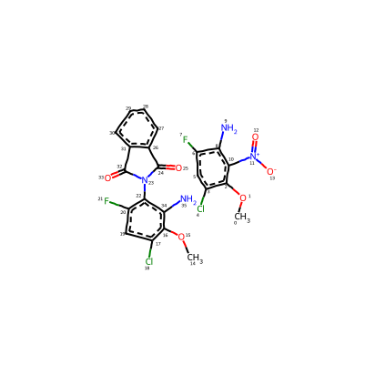 COc1c(Cl)cc(F)c(N)c1[N+](=O)[O-].COc1c(Cl)cc(F)c(N2C(=O)c3ccccc3C2=O)c1N